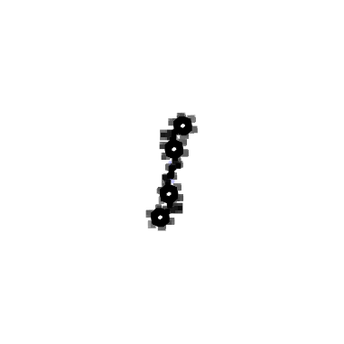 C(/C=N/c1ccc(Nc2ccccc2)cc1)=N\c1ccc(Nc2ccccc2)cc1